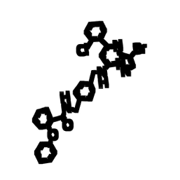 O=C(NCc1ccc(CNc2cc(-c3ccccc3Cl)nc3c(Br)cnn23)cc1)c1ccccc1Oc1ccccc1